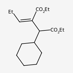 CCC=C(C(=O)OCC)C(C(=O)OCC)C1CCCCC1